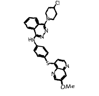 COc1cnc2c(Sc3ccc(Nc4nnc(N5CCC(Cl)CC5)c5ccccc45)cc3)ccnc2c1